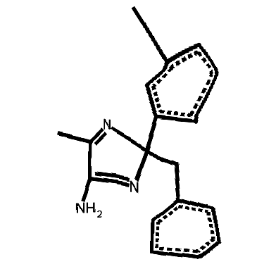 CC1=NC(Cc2ccccc2)(c2cccc(C)c2)N=C1N